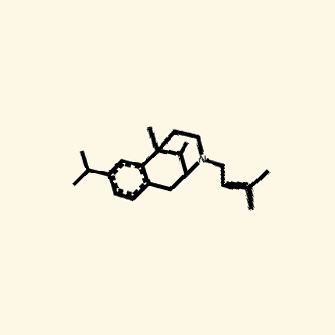 CC(C)=CCN1CCC2(C)c3cc(C(C)C)ccc3CC1C2C